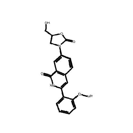 CCCOc1ccccc1-c1cc2ccc(N3CC(CO)OC3=O)cc2c(=O)[nH]1